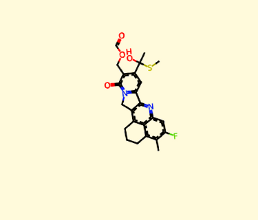 CSC(C)(O)c1cc2n(c(=O)c1COC=O)Cc1c-2nc2cc(F)c(C)c3c2c1CCC3